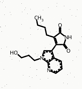 CCCCC1=C(c2cn(CCCO)c3ncccc23)C(=O)NC1=O